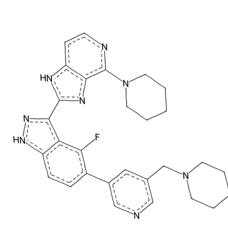 Fc1c(-c2cncc(CN3CCCCC3)c2)ccc2[nH]nc(-c3nc4c(N5CCCCC5)nccc4[nH]3)c12